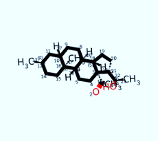 CC(=O)[C@]12CC[C@H]3[C@@H](CC[C@H]4C[C@H](C)CC[C@@]43C)[C@@H]1CC[C@@H]2[C@@H](C)O